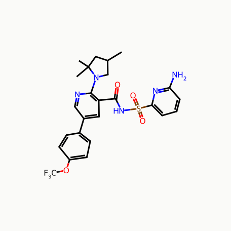 CC1CN(c2ncc(-c3ccc(OC(F)(F)F)cc3)cc2C(=O)NS(=O)(=O)c2cccc(N)n2)C(C)(C)C1